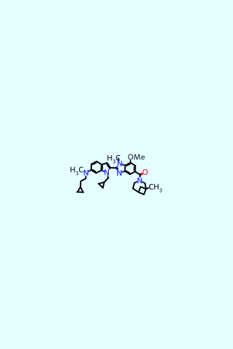 COc1cc(C(=O)N2CCC3CC(C)(C3)C2)cc2nc(-c3cc4ccc(N(C)CCC5CC5)cc4n3CC3CC3)n(C)c12